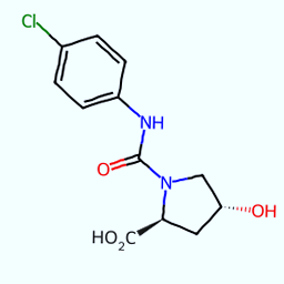 O=C(O)[C@@H]1C[C@@H](O)CN1C(=O)Nc1ccc(Cl)cc1